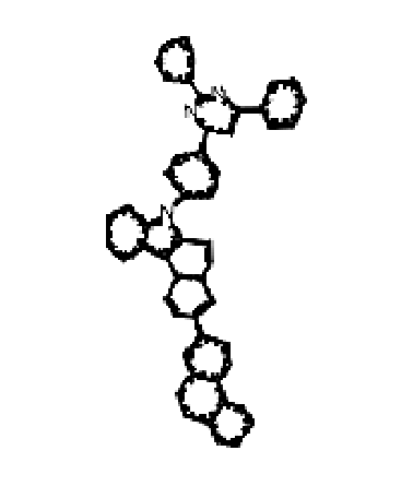 C1=CC2c3c(n(-c4ccc(-c5cc(-c6ccccc6)nc(-c6ccccc6)n5)cc4)c4ccccc34)C=CC2C=C1c1ccc2c(ccc3ccccc32)c1